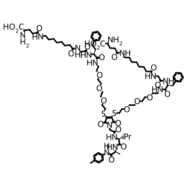 Cc1ccc(NC(=O)[C@H](C)NC(=O)[C@@H](NC(=O)CN2C(=O)C(SCCOCCOCCOCCNC(=O)[C@H](CCc3ccccc3)NC(=O)CNC(=O)CCCCCCCNC(=O)CCC(N)C(=O)O)=C(SCCOCCOCCOCCNC(=O)[C@H](Cc3ccccc3)NC(=O)CNC(=O)CCCCCCCNC(=O)CCC(N)C(=O)O)C2=O)C(C)C)cc1